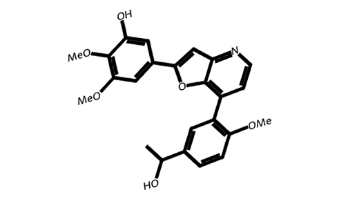 COc1ccc(C(C)O)cc1-c1ccnc2cc(-c3cc(O)c(OC)c(OC)c3)oc12